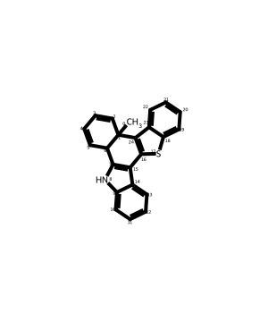 CC12C=CC=CC1c1[nH]c3ccccc3c1-c1sc3ccccc3c12